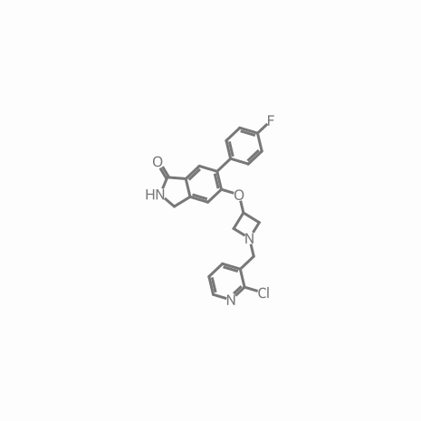 O=C1NCc2cc(OC3CN(Cc4cccnc4Cl)C3)c(-c3ccc(F)cc3)cc21